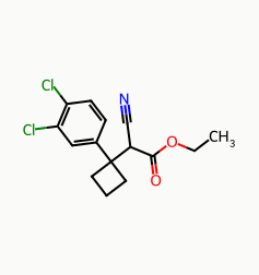 CCOC(=O)C(C#N)C1(c2ccc(Cl)c(Cl)c2)CCC1